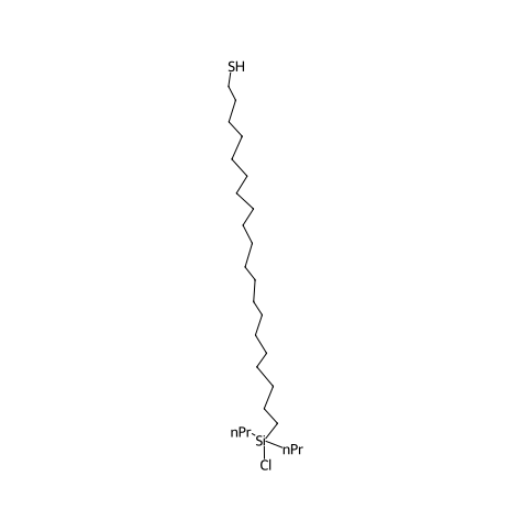 CCC[Si](Cl)(CCC)CCCCCCCCCCCCCCCCCCCCS